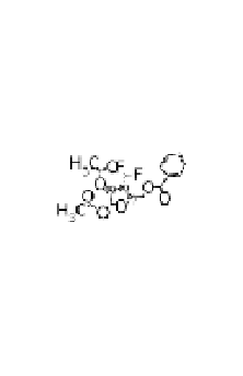 CC(=O)OC1O[C@H](COC(=O)c2ccccc2)[C@@H](C(F)F)[C@H]1OC(C)=O